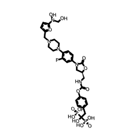 O=C(NC[C@H]1CN(c2ccc(N3CCN(Cc4ccc(N(O)CO)o4)CC3)c(F)c2)C(=O)O1)Oc1ccc(CC(O)(P(=O)(O)O)P(=O)(O)O)cc1